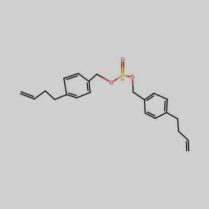 C=CCCc1ccc(CO[PH](=O)OCc2ccc(CCC=C)cc2)cc1